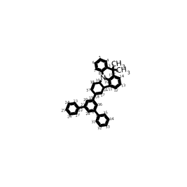 CC1(C)c2ccccc2N2c3c(cccc31)C1C=C(c3cc(-c4ccccc4)cc(-c4ccccc4)c3)C=CC12